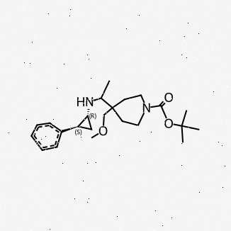 COCC1(C(C)N[C@@H]2C[C@H]2c2ccccc2)CCN(C(=O)OC(C)(C)C)CC1